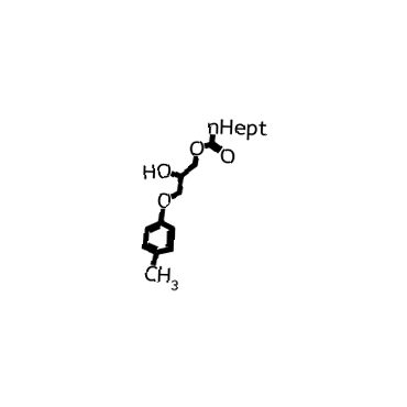 CCCCCCCC(=O)OCC(O)COc1ccc(C)cc1